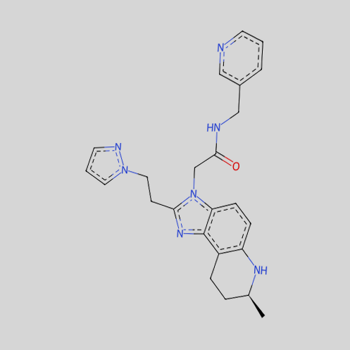 C[C@H]1CCc2c(ccc3c2nc(CCn2cccn2)n3CC(=O)NCc2cccnc2)N1